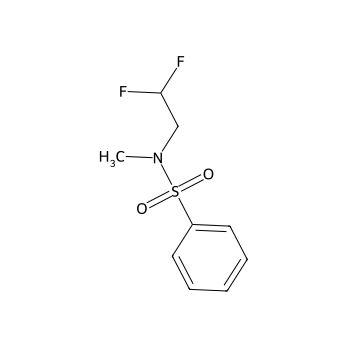 CN(CC(F)F)S(=O)(=O)c1ccccc1